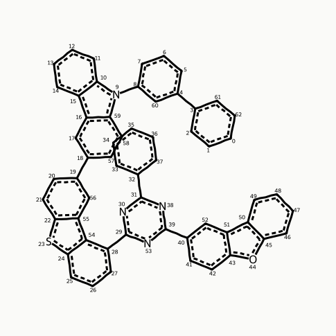 c1ccc(-c2cccc(-n3c4ccccc4c4cc(-c5ccc6sc7cccc(-c8nc(-c9ccccc9)nc(-c9ccc%10oc%11ccccc%11c%10c9)n8)c7c6c5)ccc43)c2)cc1